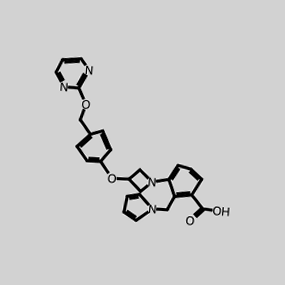 O=C(O)c1cccc(N2CC(Oc3ccc(COc4ncccn4)cc3)C2)c1Cn1cccc1